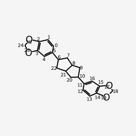 c1cc2c(cc1C1CC3CC(c4ccc5c(c4)OCO5)CC3C1)OCO2